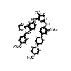 COc1ccc(COc2ccc(Nc3nc(Nc4ccc(N5CCC(N6CCN(C)CC6)CC5)cc4OC)ncc3Cl)cc2C2OCCO2)cc1